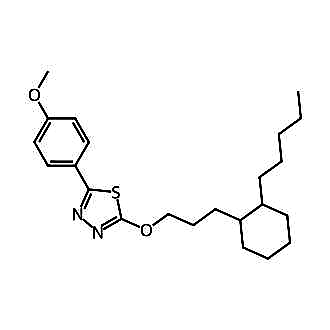 CCCCCC1CCCCC1CCCOc1nnc(-c2ccc(OC)cc2)s1